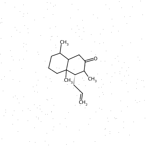 C=CC[C@H]1C(C)C(=O)CC2C(C)CCCC21C